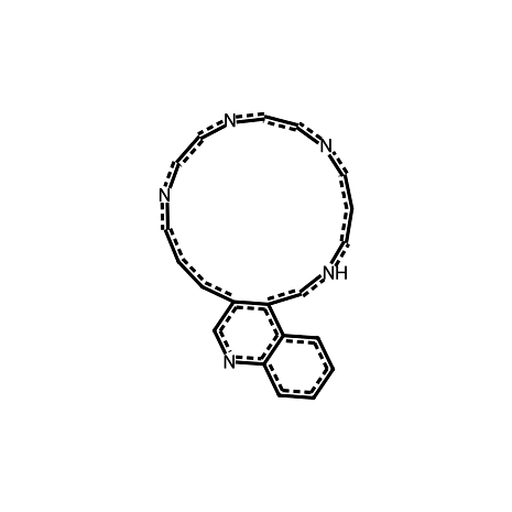 c1cnccnccncccc2cnc3ccccc3c2c[nH]c1